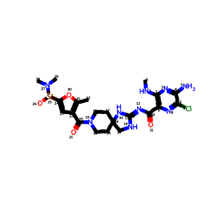 CNc1nc(N)c(Cl)nc1C(=O)/N=C1\NCC2(CCN(C(=O)c3cc([S+]([O-])N(C)C)oc3C)CC2)N1